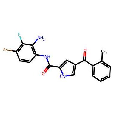 Nc1c(NC(=O)c2cc(C(=O)c3ccccc3C(F)(F)F)c[nH]2)ccc(Br)c1F